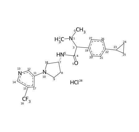 CN(C)C(C(=O)N[C@@H]1CCN(c2cncc(C(F)(F)F)c2)C1)c1ccc(C2CC2)cc1.Cl